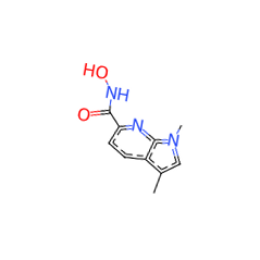 Cc1cn(C)c2nc(C(=O)NO)ccc12